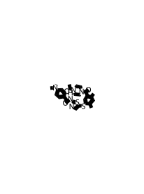 CC(=O)N1CCN(C(=O)c2cc(Sc3cnc(NC(=O)c4ccc(N(C)C)cc4)s3)c(C)cc2C)CC1